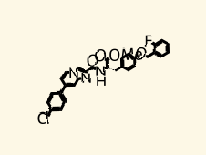 COC(=O)[C@H](Cc1ccc(OCc2ccccc2F)cc1)NC(=O)c1cn2ccc(-c3ccc(Cl)cc3)cc2n1